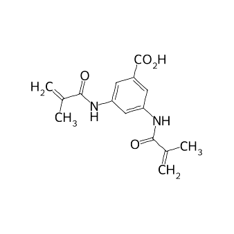 C=C(C)C(=O)Nc1cc(NC(=O)C(=C)C)cc(C(=O)O)c1